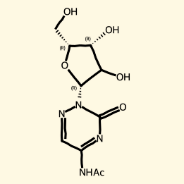 CC(=O)Nc1cnn([C@@H]2O[C@H](CO)[C@H](O)C2O)c(=O)n1